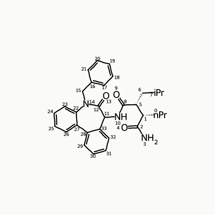 CCC[C@H](C(N)=O)[C@@H](CC(C)C)C(=O)NC1C(=O)N(Cc2ccccc2)c2ccccc2-c2ccccc21